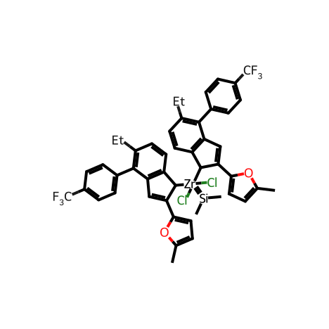 CCc1ccc2c(c1-c1ccc(C(F)(F)F)cc1)C=C(c1ccc(C)o1)[CH]2[Zr]([Cl])([Cl])([CH]1C(c2ccc(C)o2)=Cc2c1ccc(CC)c2-c1ccc(C(F)(F)F)cc1)=[Si](C)C